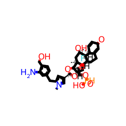 Cn1cc([C@@H]2O[C@@H]3C[C@H]4[C@@H]5CCC6=CC(=O)C=C[C@]6(C)[C@@]5(F)[C@@H](O)C[C@]4(C)[C@]3(C(=O)CO[PH](=O)O)O2)cc1Cc1ccc(CO)c(N)c1